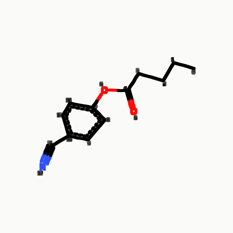 CCCCC(=O)Oc1ccc(C#N)cc1